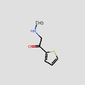 O=CNCC(=O)c1cccs1